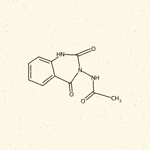 CC(=O)Nn1c(=O)[nH]c2ccccc2c1=O